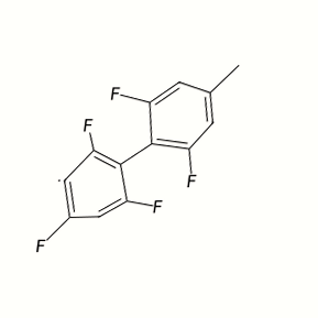 Cc1cc(F)c(-c2c(F)[c]c(F)cc2F)c(F)c1